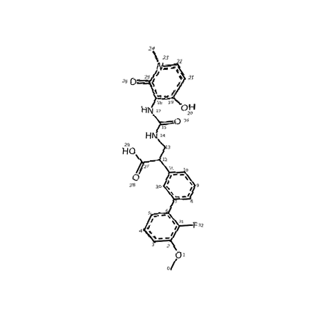 COc1cccc(-c2cccc(C(CNC(=O)Nc3c(O)ccn(C)c3=O)C(=O)O)c2)c1F